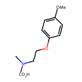 COc1ccc(OCCN(C)C(=O)O)cc1